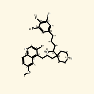 COc1ccc2ncc(F)c(CCCC3(C(O)CCCc4cc(F)c(F)c(F)c4)CCNCC3)c2c1